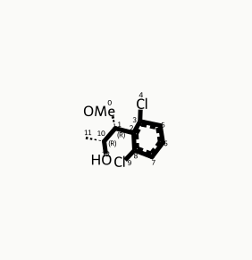 CO[C@H](c1c(Cl)cccc1Cl)[C@@H](C)O